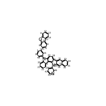 c1cc(-c2ccc3c(c2)oc2ccccc23)cc(-n2c3ccccc3c3c2ccc2c4cc5ccccc5cc4n(-c4cccnc4)c23)c1